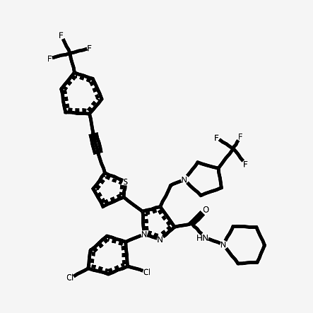 O=C(NN1CCCCC1)c1nn(-c2ccc(Cl)cc2Cl)c(-c2ccc(C#Cc3ccc(C(F)(F)F)cc3)s2)c1CN1CCC(C(F)(F)F)C1